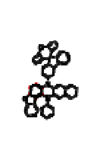 c1ccc(N(c2ccccc2)c2cc3ccccc3cc2N(c2ccc3c(c2)-c2ccccc2C32c3ccccc3Oc3ccccc32)c2ccc3oc4ccccc4c3c2)cc1